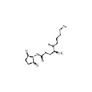 C=C(CCC(=O)ON1C(=O)CCC1=O)N(I)CCCCO